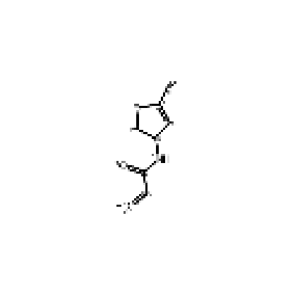 C=CC(=O)NC1C=C(C(C)C)CC1